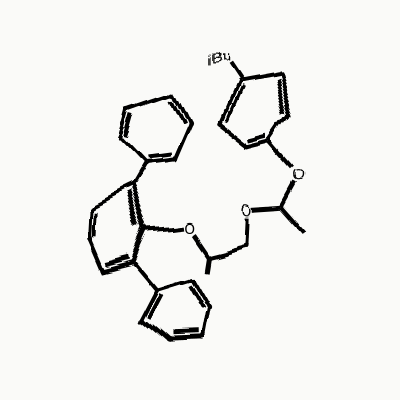 CCC(C)c1ccc(OC(C)OCC(C)Oc2c(-c3ccccc3)cccc2-c2ccccc2)cc1